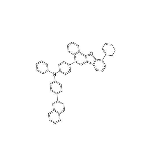 C1=CCCC(c2cccc3c2oc2c4ccccc4c(-c4ccc(N(c5ccccc5)c5ccc(-c6ccc7ccccc7c6)cc5)cc4)cc32)=C1